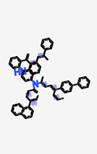 C=C(/C(=C\C=C(/C)c1ccccc1)c1cccc(N(C(=C)/C=C\C(=C/C)c2cccc3ccccc23)/C(C)=C/C=C(\C=C/C)c2ccc(-c3ccccc3)cc2)c1)c1ccccc1Nc1ccccc1